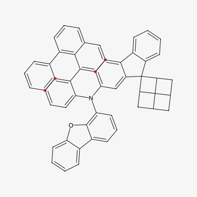 c1ccc(-c2cccc3cccc(-c4ccccc4N(c4ccc5c(c4)C4(c6ccccc6-5)C5CC6CC7CC4C675)c4cccc5c4oc4ccccc45)c23)cc1